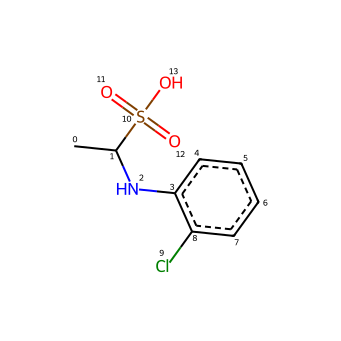 CC(Nc1ccccc1Cl)S(=O)(=O)O